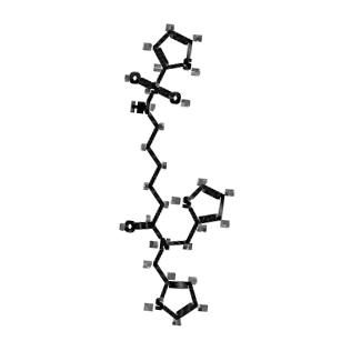 O=C(CCCCCNS(=O)(=O)c1cccs1)N(Cc1cccs1)Cc1cccs1